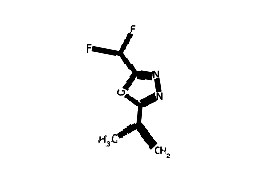 C=C(C)c1nnc(C(F)F)o1